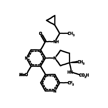 COc1ncc(C(=O)NC(C)C2CC2)c(N2CC[C@](C)(NC(=O)O)C2)c1-c1ccnc(C(F)(F)F)c1